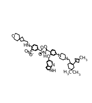 CC1(C)CCC(CN2CCN(c3ccc(C(=O)NS(=O)(=O)c4ccc(NCC5CC6(CCOCC6)C5)c([N+](=O)[O-])c4)c(Oc4cnc5[nH]ccc5c4)c3)CC2)=C(C23CC(C)(C2)C3)C1